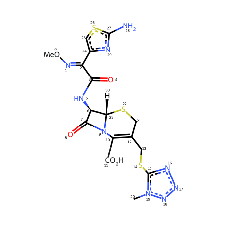 CON=C(C(=O)N[C@@H]1C(=O)N2C(C(=O)O)=C(CSc3nnnn3C)CS[C@@H]12)c1csc(N)n1